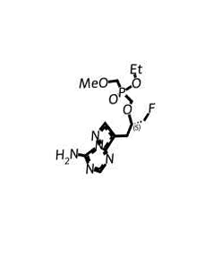 CCOP(=O)(COC)CO[C@H](CF)Cc1cnn2c(N)ncnc12